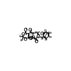 CC1(C)OC(=O)C(C(=O)C(CC(=O)O)NC(=O)OCc2ccccc2)C(=O)O1